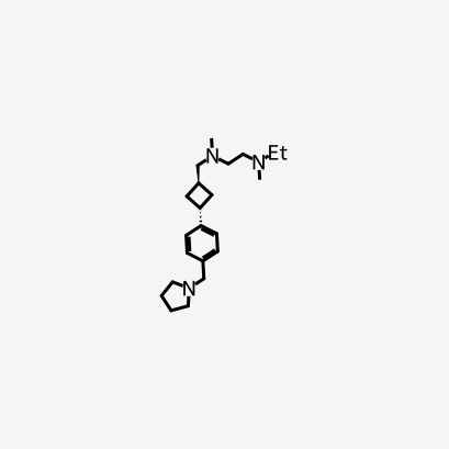 CCN(C)CCN(C)C[C@H]1C[C@H](c2ccc(CN3CCCC3)cc2)C1